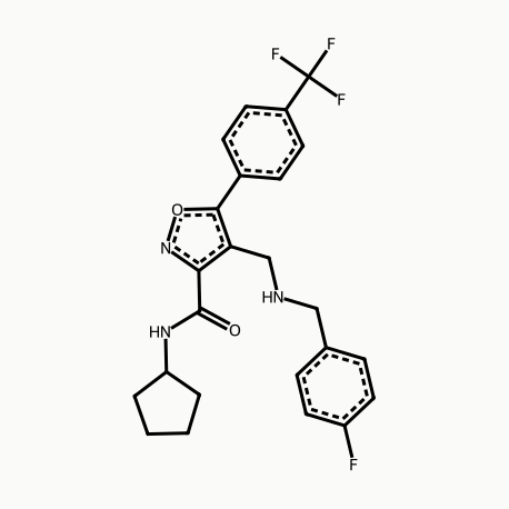 O=C(NC1CCCC1)c1noc(-c2ccc(C(F)(F)F)cc2)c1CNCc1ccc(F)cc1